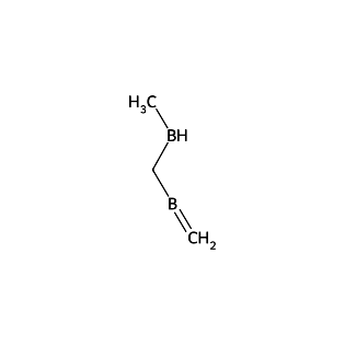 C=BCBC